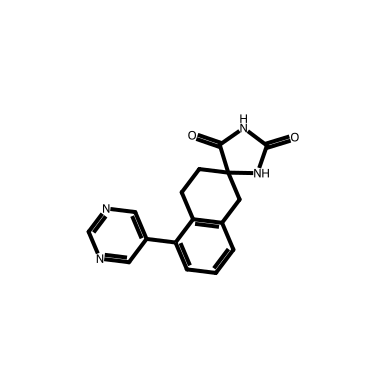 O=C1NC(=O)C2(CCc3c(cccc3-c3cncnc3)C2)N1